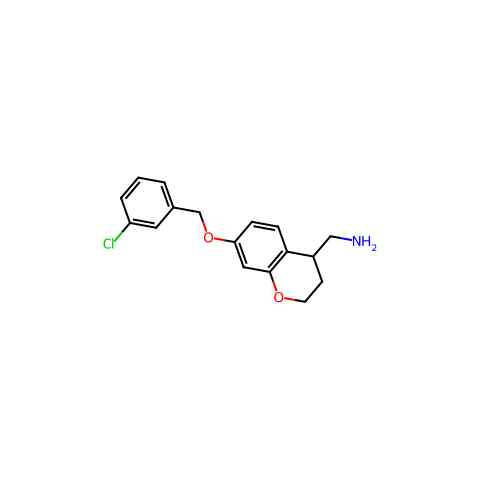 NCC1CCOc2cc(OCc3cccc(Cl)c3)ccc21